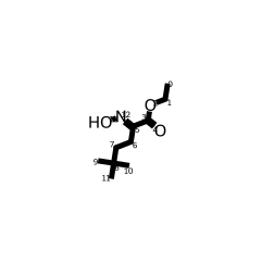 CCOC(=O)C(CCC(C)(C)C)=NO